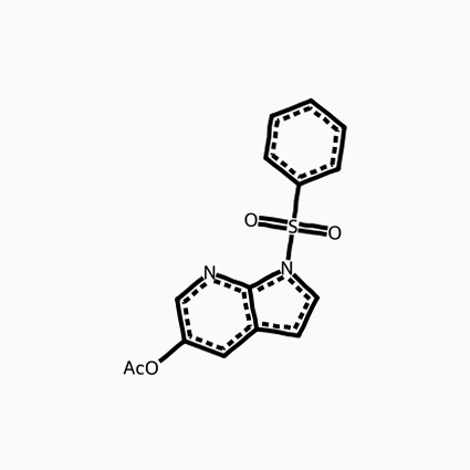 CC(=O)Oc1cnc2c(ccn2S(=O)(=O)c2ccccc2)c1